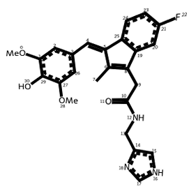 COc1cc(C=C2C(C)=C(CC(=O)NCc3c[nH]cn3)c3cc(F)ccc32)cc(OC)c1O